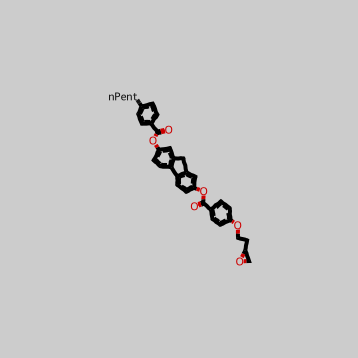 CCCCCc1ccc(C(=O)Oc2ccc3c(c2)Cc2cc(OC(=O)c4ccc(OCCC5CO5)cc4)ccc2-3)cc1